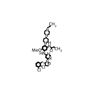 C=CCN1CCN(C2CCN(c3cc(OC)c(Nc4cc(N5OCC[C@@H]5Cc5cccc(Cl)c5Cl)ncn4)cc3NC(=O)C=C)CC2)CC1